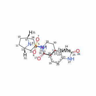 CNC1CCN(S(=O)(=O)N2[C@@H]3CC[C@H]2C[C@H](NC(=O)c2ccc4c(c2)CC(=O)N4)C3)CC1